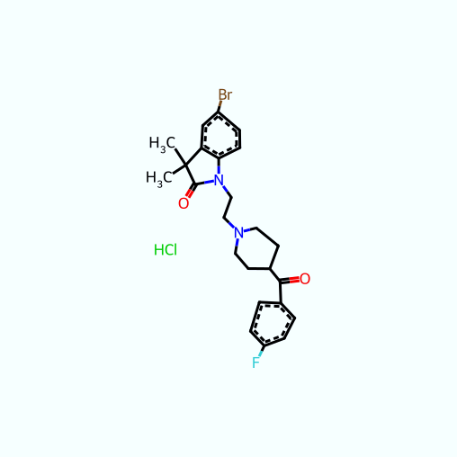 CC1(C)C(=O)N(CCN2CCC(C(=O)c3ccc(F)cc3)CC2)c2ccc(Br)cc21.Cl